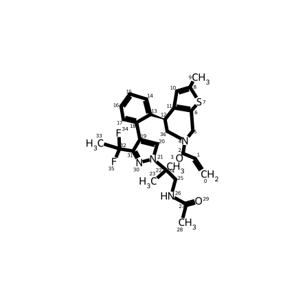 C=CC(=O)N1Cc2sc(C)cc2[C@H](c2ccccc2-c2cn(C(C)(C)CNC(C)=O)nc2C(C)(F)F)C1